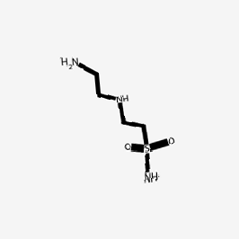 [NH]S(=O)(=O)CCNCCN